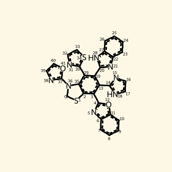 [CH]1Sc2c(-c3nc4ccccc4o3)c(-c3ncc[nH]3)c(-c3nc4ccccc4[nH]3)c(-c3nccs3)c2N1c1ncco1